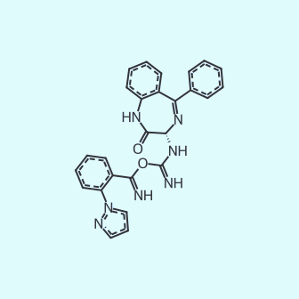 N=C(N[C@H]1N=C(c2ccccc2)c2ccccc2NC1=O)OC(=N)c1ccccc1-n1cccn1